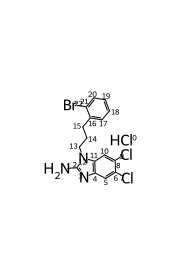 Cl.Nc1nc2cc(Cl)c(Cl)cc2n1CCCc1ccccc1Br